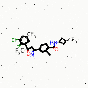 Cc1cc(C2=NO[C@](c3cc(C(F)(F)F)cc(Cl)c3F)(C(F)(F)F)C2)ccc1C(=O)N[C@H]1C[C@H](C(F)(F)F)C1